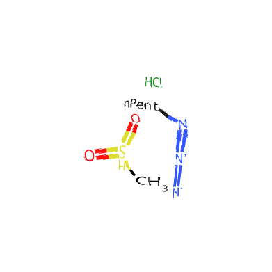 CCCCCN=[N+]=[N-].C[SH](=O)=O.Cl